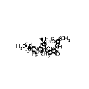 COc1ccc(CNc2nc3cc(CN(C(=O)c4cnc(C5CC5)nc4)c4ccc(N5CCN(C(=O)OC(C)(C)C)CC5C(F)(F)F)nc4C)ccc3c3c2COC3)c(OC)c1